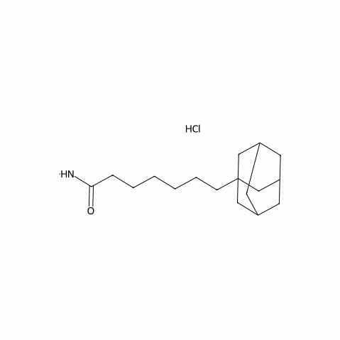 Cl.[NH]C(=O)CCCCCCC12CC3CC(CC(C3)C1)C2